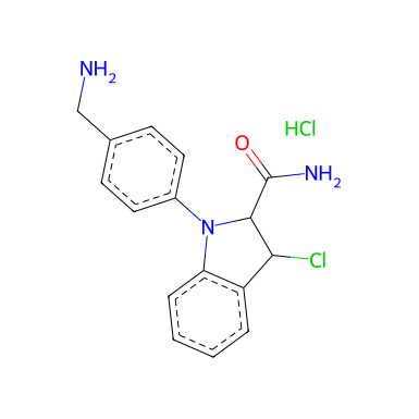 Cl.NCc1ccc(N2c3ccccc3C(Cl)C2C(N)=O)cc1